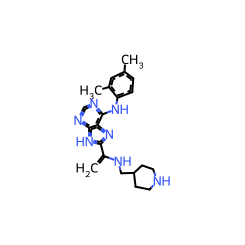 C=C(NCC1CCNCC1)c1nc2c(Nc3ccc(C)cc3C)ncnc2[nH]1